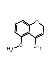 COc1cccc2c1C(C)=CCO2